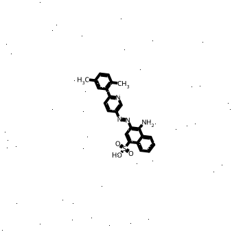 Cc1ccc(C)c(-c2ccc(N=Nc3cc(S(=O)(=O)O)c4ccccc4c3N)cn2)c1